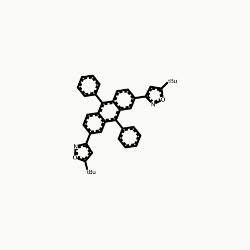 CC(C)(C)c1cc(-c2ccc3c(-c4ccccc4)c4ccc(-c5cc(C(C)(C)C)on5)cc4c(-c4ccccc4)c3c2)no1